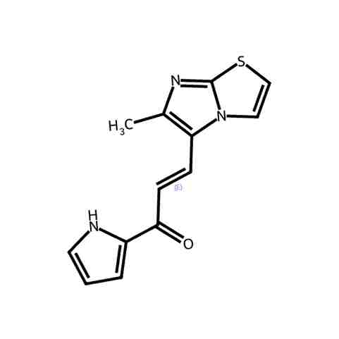 Cc1nc2sccn2c1/C=C/C(=O)c1ccc[nH]1